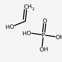 C=CO.O=P(O)(O)O